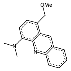 COCc1ccc(N(C)C)c2nc3ccccc3cc12